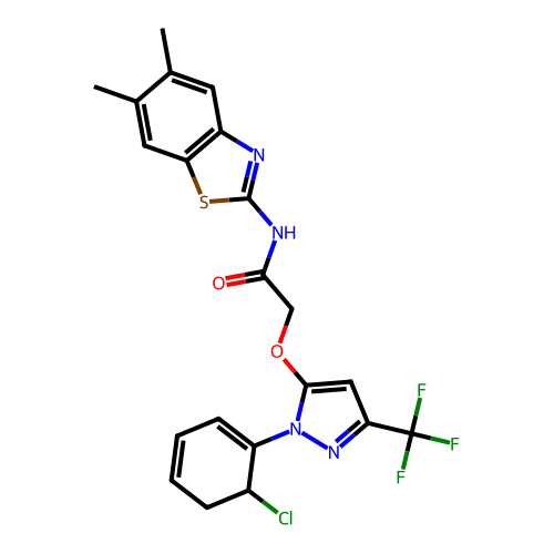 Cc1cc2nc(NC(=O)COc3cc(C(F)(F)F)nn3C3=CC=CCC3Cl)sc2cc1C